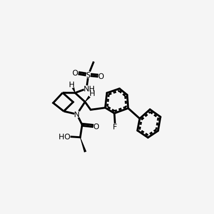 C[C@@H](O)C(=O)N1C2CC(C2)[C@H](NS(C)(=O)=O)[C@@H]1Cc1cccc(-c2ccccc2)c1F